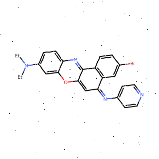 CCN(CC)c1ccc2nc3c4ccc(Br)cc4/c(=N\c4ccncc4)cc-3oc2c1